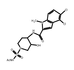 CC(=O)NS(=O)(=O)N1CCC(NC(=O)c2cc3c(Cl)c(Cl)ccc3n2C)C(O)C1